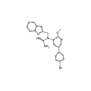 COc1ncc(-c2ccc(Br)cc2)cc1N(Cc1cc2ccccc2o1)C(=N)N